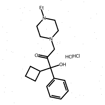 CCN1CCN(CC(=O)C(O)(c2ccccc2)C2CCC2)CC1.Cl.Cl